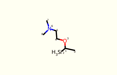 CC([SiH3])OCCN(C)C